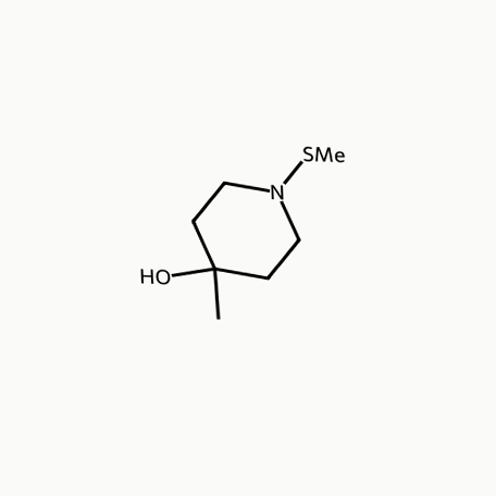 CSN1CCC(C)(O)CC1